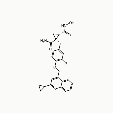 NC(=O)[C@@]1(Cc2ccc(OCc3cc(C4CC4)nc4ccccc34)c(F)c2)C[C@@H]1C(=O)NO